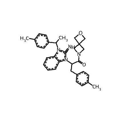 Cc1ccc(CC(C(=O)N2CC3(COC3)C2)n2c(=N)n(C(C)c3ccc(C)cc3)c3ccccc32)cc1